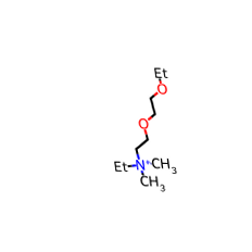 CCOCCOCC[N+](C)(C)CC